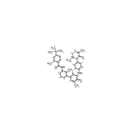 Cc1cc(C(C)(C)C)ccc1C(=O)Nc1cccc(-c2cn(C)c(=O)c(Nc3ccc(C4C(=O)N(C)CCN4C)cc3)n2)c1C